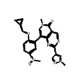 Cn1cc(-c2ncc3c(=O)n(C)cc(-c4cc([S+](C)[O-])ccc4OCC4CC4)c3n2)cn1